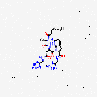 CCC(C)C(NC(=O)CCC(=O)O)C(=O)NC(CC(=O)NCc1nn[nH]n1)C(=O)N1c2ncccc2C[C@H]1C(=O)NCc1nn[nH]n1